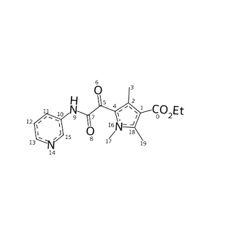 CCOC(=O)c1c(C)c(C(=O)C(=O)Nc2cccnc2)n(C)c1C